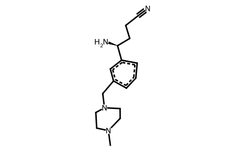 CN1CCN(Cc2cccc([C@@H](N)CCC#N)c2)CC1